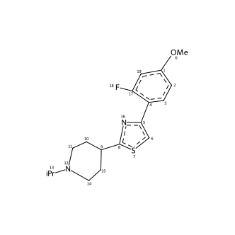 COc1ccc(-c2csc(C3CCN(C(C)C)CC3)n2)c(F)c1